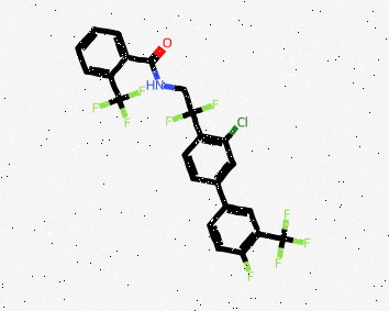 O=C(NCC(F)(F)c1ccc(-c2ccc(F)c(C(F)(F)F)c2)cc1Cl)c1ccccc1C(F)(F)F